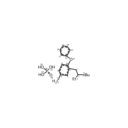 CCCCC(CC)Cc1cc(C)ccc1Oc1ccccc1.O=P(O)(O)O